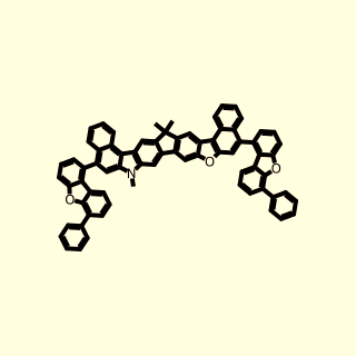 Cn1c2cc3c(cc2c2c4ccccc4c(-c4cccc5oc6c(-c7ccccc7)cccc6c45)cc21)C(C)(C)c1cc2c(cc1-3)oc1cc(-c3cccc4oc5c(-c6ccccc6)cccc5c34)c3ccccc3c12